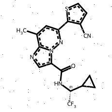 Cc1cc(-c2sccc2C#N)nn2c(C(=O)N[C@H](C3CC3)C(F)(F)F)cnc12